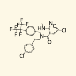 CNc1ncc(Cl)cc1C(=O)N(CCc1ccc(Cl)cc1)Cc1ccc(C(F)(C(F)(F)F)C(F)(F)F)cc1